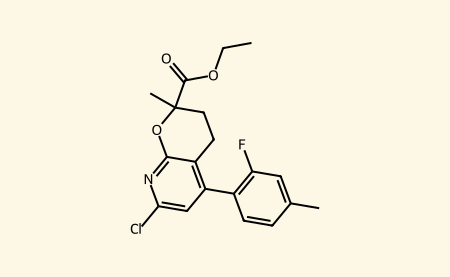 CCOC(=O)C1(C)CCc2c(-c3ccc(C)cc3F)cc(Cl)nc2O1